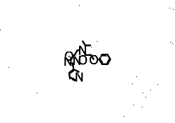 CC(C)N(Cc1nc(-c2cccnc2)no1)C(=O)COc1ccccc1